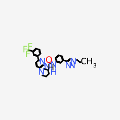 CCCn1cc(-c2cccc(NC(=O)N3c4nc(-c5cccc(C(F)(F)F)c5)ccc4N4CCC[C@H]3C4)c2)nn1